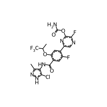 Cc1n[nH]c(Cl)c1NC(=O)c1cc(F)c(-c2cnc(F)c(OC(N)=O)n2)cc1OC(C)C(F)(F)F